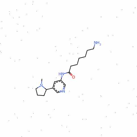 CN1CCCC1c1cncc(NC(=O)CCCCCCN)c1